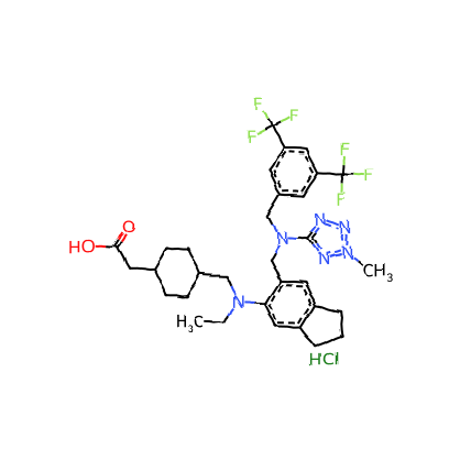 CCN(CC1CCC(CC(=O)O)CC1)c1cc2c(cc1CN(Cc1cc(C(F)(F)F)cc(C(F)(F)F)c1)c1nnn(C)n1)CCC2.Cl